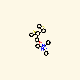 C1=C(c2cccc3sc4ccccc4c23)C=C2Sc3ccccc3C2C1c1ccc2c(c1)oc1c(-c3nc(-c4ccccc4)nc(-c4ccccc4)n3)cccc12